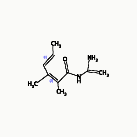 C=C(N)NC(=O)/C(C)=C(C)\C=C\C